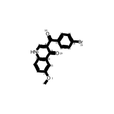 COc1ccc2[nH]cc(C(=O)c3ccc(Br)cc3)c(=O)c2c1